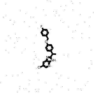 CC(c1ccc(OCc2ccc(F)cc2)cc1)c1nc2cc(Cl)cnc2[nH]1